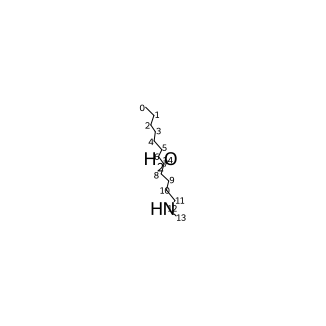 CCCCCCCCCCCCNC.O